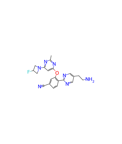 Cc1nc(Oc2cc(C#N)ccc2-c2ncc(CCN)cn2)cc(N2CC(F)C2)n1